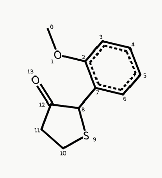 COc1ccccc1C1SCCC1=O